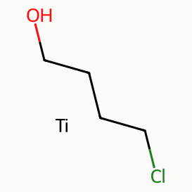 OCCCCCl.[Ti]